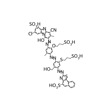 Cc1cc(N=Nc2c(C)c(C#N)c3nc4c(S(=O)(=O)O)cc(Cl)cc4n3c2O)c(OCCCS(=O)(=O)O)cc1N=Nc1cc(CO)c(N=Nc2nc3c(S(=O)(=O)O)cc4ccccc4c3s2)cc1SCCCS(=O)(=O)O